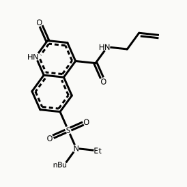 C=CCNC(=O)c1cc(=O)[nH]c2ccc(S(=O)(=O)N(CC)CCCC)cc12